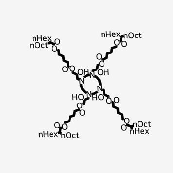 CCCCCCCCC(CCCCCC)C(=O)OCCCCCC(=O)OCC(O)CN1CCCN(CC(O)COC(=O)CCCCCOC(=O)C(CCCCCC)CCCCCCCC)CCN(CC(O)COC(=O)CCCCCOC(=O)C(CCCCCC)CCCCCCCC)CCCN(CC(O)COC(=O)CCCCCOC(=O)C(CCCCCC)CCCCCCCC)CC1